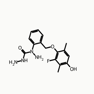 Cc1cc(O)c(C)c(F)c1OCc1ccccc1N(N)C(=O)NN